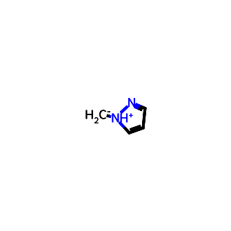 [CH2-][NH+]1C=CC=N1